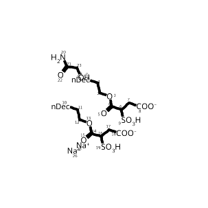 CCCCCCCCCCCCOC(=O)C(CC(=O)[O-])S(=O)(=O)O.CCCCCCCCCCCCOC(=O)C(CC(=O)[O-])S(=O)(=O)O.NC(=O)CO.[Na+].[Na+]